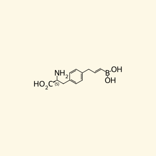 N[C@@H](Cc1ccc(CC=CB(O)O)cc1)C(=O)O